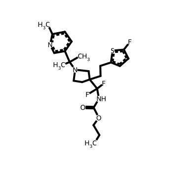 CCCOC(=O)NC(F)(F)C1(CCc2ccc(F)s2)CCN(C(C)(C)c2ccc(C)nc2)C1